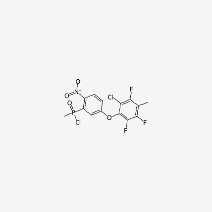 Cc1c(F)c(F)c(Oc2ccc([N+](=O)[O-])c(P(C)(=O)Cl)c2)c(Cl)c1F